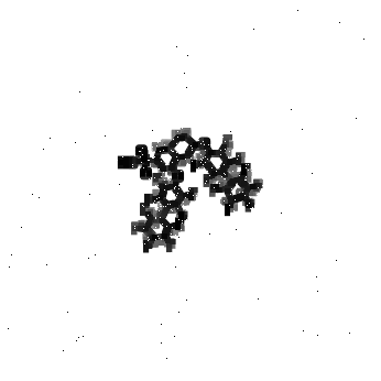 O=S(=O)(O)c1cc(Oc2c(F)c(F)c(-c3c(F)c(F)c(F)c(F)c3F)c(F)c2F)c2cc(Oc3c(F)c(F)c(-c4c(F)c(F)c(F)c(F)c4F)c(F)c3F)ccc2c1